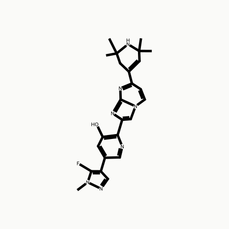 Cn1ncc(-c2cnc(-c3cn4ccc(C5=CC(C)(C)NC(C)(C)C5)nc4n3)c(O)c2)c1F